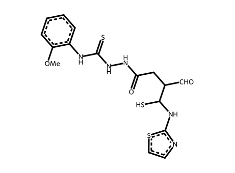 COc1ccccc1NC(=S)NNC(=O)CC(C=O)C(S)Nc1nccs1